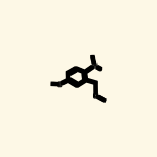 COCc1cc(OC)cc[c]1[Bi]([CH3])[CH3]